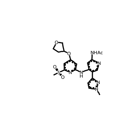 CC(=O)Nc1cc(Nc2cc(OC3CCOC3)cc(S(C)(=O)=O)n2)c(-c2ccn(C)n2)cn1